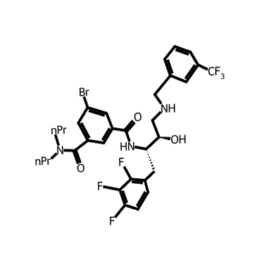 CCCN(CCC)C(=O)c1cc(Br)cc(C(=O)N[C@@H](Cc2ccc(F)c(F)c2F)[C@H](O)CNCc2cccc(C(F)(F)F)c2)c1